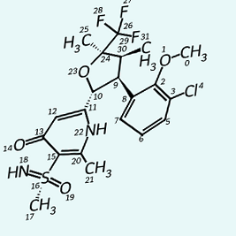 COc1c(Cl)cccc1[C@H]1[C@H](c2cc(=O)c([S@](C)(=N)=O)c(C)[nH]2)O[C@@](C)(C(F)(F)F)[C@H]1C